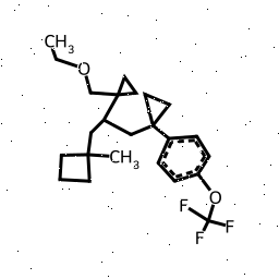 CCOCC1(C(CC2(C)CCC2)CC2(c3ccc(OC(F)(F)F)cc3)CC2)CC1